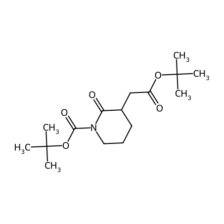 CC(C)(C)OC(=O)CC1CCCN(C(=O)OC(C)(C)C)C1=O